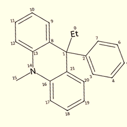 CCC1(c2ccccc2)c2ccccc2N(C)c2ccccc21